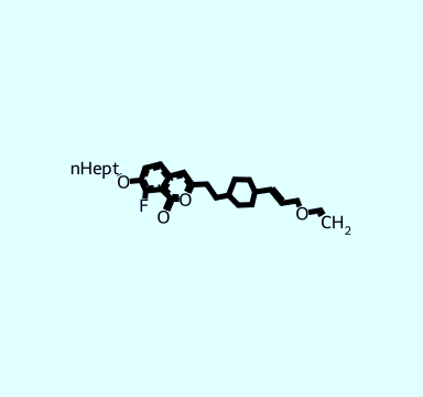 C=COC/C=C/C1CCC(CCc2cc3ccc(OCCCCCCC)c(F)c3c(=O)o2)CC1